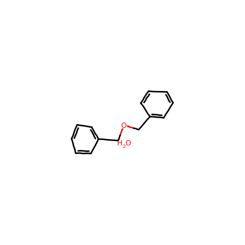 O.c1ccc(COCc2ccccc2)cc1